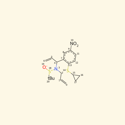 C=CCN(C(C=C)c1cc([N+](=O)[O-])ccc1SC1CC1)[S+]([O-])C(C)(C)C